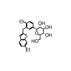 CCc1ccc2cc(Cc3cc([C@@H]4O[C@H](CO)[C@@H](O)[C@H](O)[C@H]4O)ccc3Cl)sc2c1